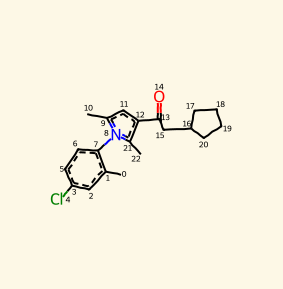 Cc1cc(Cl)ccc1-n1c(C)cc(C(=O)CC2CCCC2)c1C